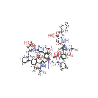 CCC(C)Cn1nc(C(=O)N[C@@H](CCN2CCCCC2c2cc(OC)c(-c3cc(C(=O)N[C@@H](CCN4CCCCC4c4cc(OC)c(-c5cc(C(=O)N[C@@H](CCN6CCCCC6)CC(=O)O)nn5CC(C)C)c(OC)c4)CC(=O)O)nn3C(C)C(C)C)c(OC)c2)CC(=O)O)cc1-c1c(OC)cccc1OC